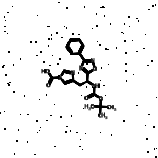 CC(C)(C)OC(=O)N[C@@H](Cc1cn(C(=O)O)cn1)c1nc(-c2ccccc2)no1